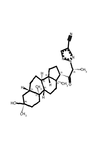 C[C@H](C(=O)[C@H]1CC[C@H]2[C@@H]3CC[C@H]4C[C@](C)(O)CC[C@]4(C)[C@H]3CC[C@]12C)n1ncc(C#N)n1